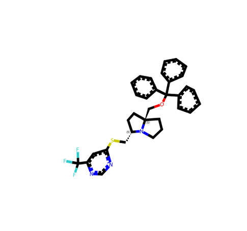 FC(F)(F)c1cc(SC[C@@H]2CC[C@]3(COC(c4ccccc4)(c4ccccc4)c4ccccc4)CCCN23)ncn1